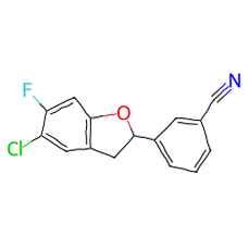 N#Cc1cccc(C2Cc3cc(Cl)c(F)cc3O2)c1